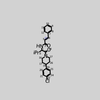 CC(C)C(NC(=O)/C=C/c1ccccc1)C(=O)N1CCC(c2ccc(Cl)cc2)CC1